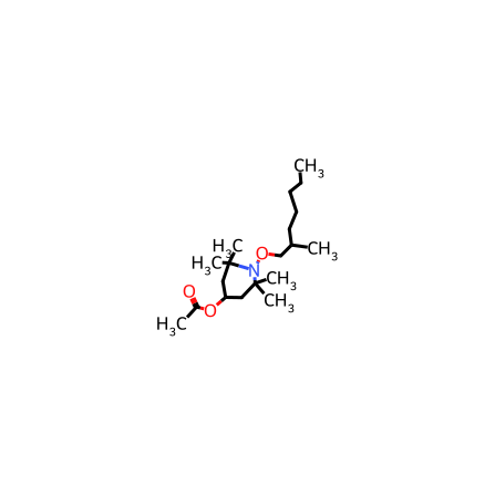 CCCCCC(C)CON1C(C)(C)CC(OC(C)=O)CC1(C)C